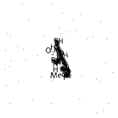 COc1cc(CN2CCN(C3CC4(CCN(c5ccc(C(=O)NS(=O)(=O)c6ccc(NC[C@H]7CC[C@](C)(O)CC7)c([N+](=O)[O-])c6)c(Oc6cnc7[nH]cc(F)c7c6)c5)CC4)C3)[C@H](c3ccccc3C(C)C)C2)ccc1F